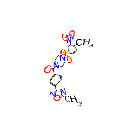 Cc1nc(-c2ccc(C(=O)N3CCN(S(=O)(=O)c4ccc(C)c([N+](=O)[O-])c4)CC3)cc2)no1